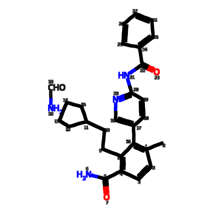 Cc1ccc(C(N)=O)c(CCC2CCCC2)c1-c1ccc(NC(=O)c2ccccc2)nc1.NC=O